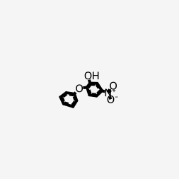 O=[N+]([O-])c1ccc(Oc2ccccc2)c(O)c1